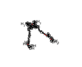 CC1(C)OCc2cc([C@@H]3CN(CCCCCCOCCC#Cc4cccc(S(=O)(=O)N(CC(=O)ON(c5cccc(S(N)(=O)=O)c5)S(=O)(=O)c5cccc(CCCCOCCCCCCNC[C@@H](O)c6ccc(O)c(CO)c6)c5)c5cccc(S(N)(=O)=O)c5)c4)C(=O)O3)ccc2O1